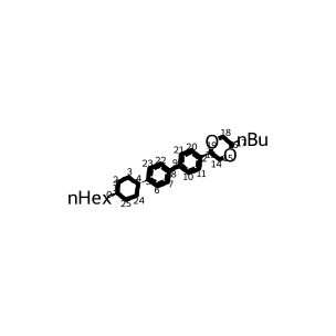 CCCCCC[C@H]1CC[C@H](c2ccc(-c3ccc([C@@H]4CO[C@@H](CCCC)CO4)cc3)cc2)CC1